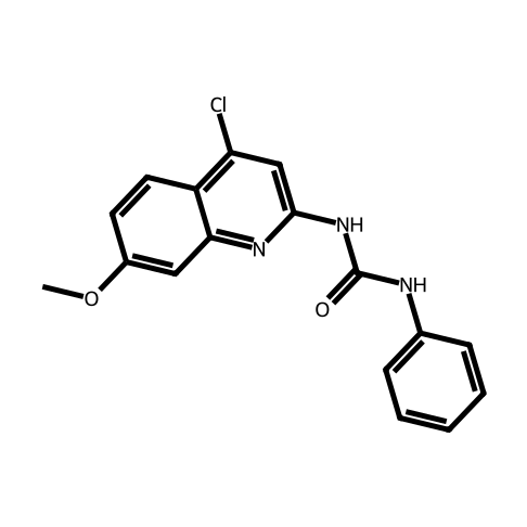 COc1ccc2c(Cl)cc(NC(=O)Nc3ccccc3)nc2c1